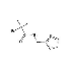 CC(C)C(C)(C)C(=O)NCc1cccs1